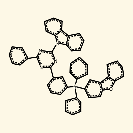 c1ccc(-c2nc(-c3cccc(S(c4ccccc4)(c4ccccc4)c4ccc5oc6ccccc6c5c4)c3)nc(-n3c4ccccc4c4ccccc43)n2)cc1